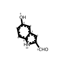 O=Cc1cc2cc(O)ccc2[nH]1